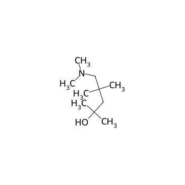 CN(C)CC(C)(C)CC(C)(C)O